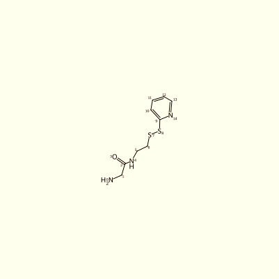 NCC(=O)NCCSSc1ccccn1